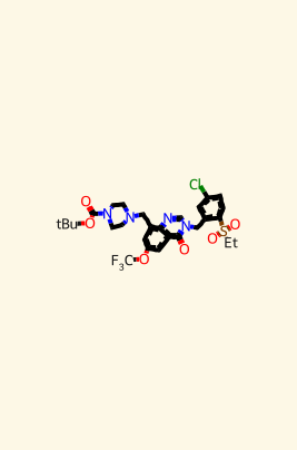 CCS(=O)(=O)c1ccc(Cl)cc1Cn1cnc2c(CN3CCN(C(=O)OC(C)(C)C)CC3)cc(OC(F)(F)F)cc2c1=O